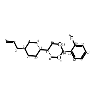 C=CC[C@H]1CC[C@H]([C@H]2CO[C@H](c3ccccc3F)OC2)CC1